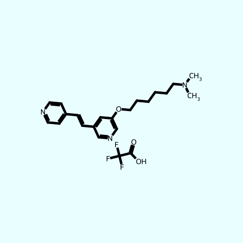 CN(C)CCCCCCOc1cncc(C=Cc2ccncc2)c1.O=C(O)C(F)(F)F